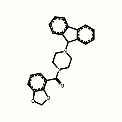 O=C(c1cccc2c1OCO2)N1CCN(C2c3ccccc3-c3ccccc32)CC1